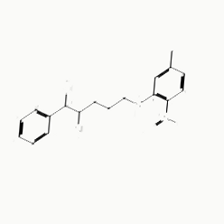 Cc1ccc([N+](=O)[O-])c(NCCCC(N)C(O)c2ccccc2)c1